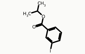 CC(C)OC(=O)c1cccc(I)c1